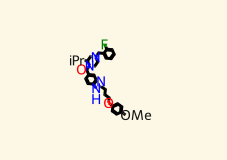 COc1ccc(OCCCc2nc3cc(C(=O)N4CCN(Cc5ccccc5F)CC4C(C)C)ccc3[nH]2)cc1